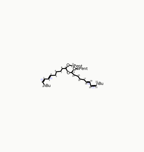 CCCC/C=C\C=C\CCCCC(OCCCCC)OC(CCCC/C=C/C=C\CCCC)OCCCCC